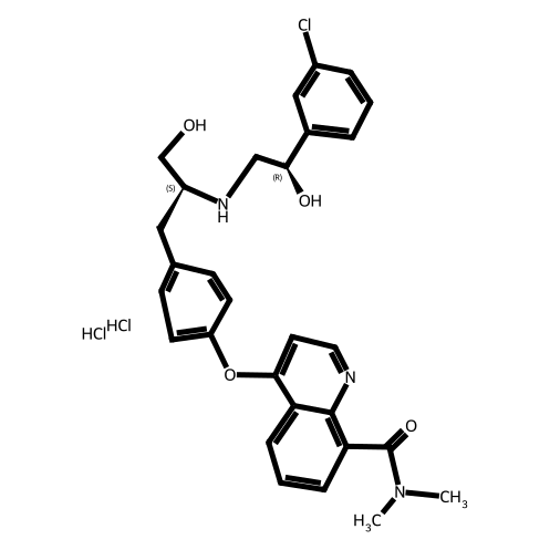 CN(C)C(=O)c1cccc2c(Oc3ccc(C[C@@H](CO)NC[C@H](O)c4cccc(Cl)c4)cc3)ccnc12.Cl.Cl